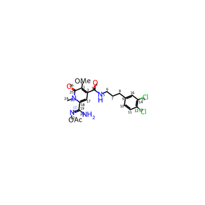 COc1c(C(=O)NCCCc2ccc(Cl)c(Cl)c2)cc(/C(N)=N/OC(C)=O)n(C)c1=O